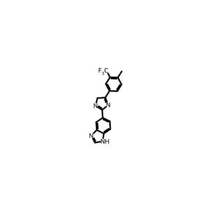 Cc1ccc(C2=NC(c3ccc4[nH]cnc4c3)=NC2)cc1C(F)(F)F